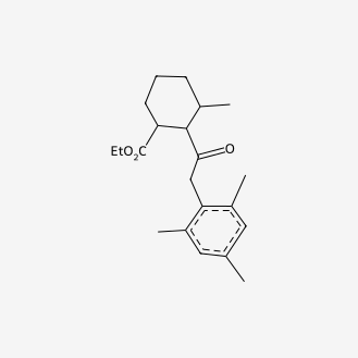 CCOC(=O)C1CCCC(C)C1C(=O)Cc1c(C)cc(C)cc1C